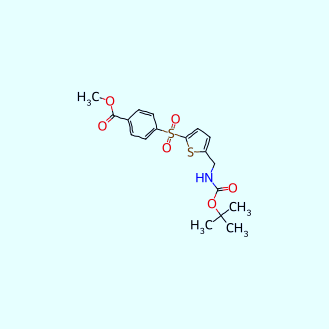 COC(=O)c1ccc(S(=O)(=O)c2ccc(CNC(=O)OC(C)(C)C)s2)cc1